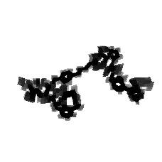 Cc1ncsc1-c1ccc(CNC(=O)[C@@H]2CCCN2C(=O)[C@@H](NC(=O)CC/C=C/c2ccc(CO[C@H](C)[C@H](CCC(N)=O)NC(=O)[C@@H]3Cc4cccc5c4N3C(=O)CCC5)cc2)C(C)(C)C)cc1